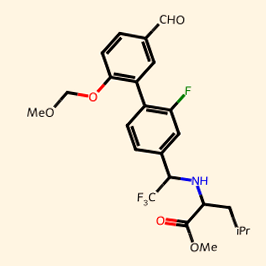 COCOc1ccc(C=O)cc1-c1ccc(C(NC(CC(C)C)C(=O)OC)C(F)(F)F)cc1F